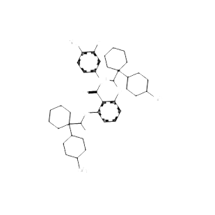 CCCC1CCC(C2(C(F)Oc3cccc(OC(F)C4(C5CCC(CCC)CC5)CCCCC4)c3C(=O)Oc3ccc(C#N)c(F)c3)CCCCC2)CC1